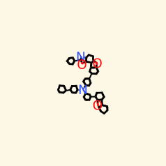 c1ccc(-c2ccc(N(c3ccc(-c4ccc5oc6ccc7nc(-c8ccccc8)oc7c6c5c4)cc3)c3cccc(-c4cccc5c4oc4ccccc45)c3)cc2)cc1